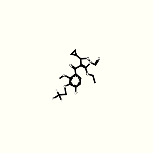 CCOC1=C(C(=O)c2ccc(Br)c(OCC(F)(F)F)c2SC)C(C2CC2)ON1C=O